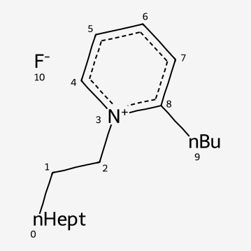 CCCCCCCCC[n+]1ccccc1CCCC.[F-]